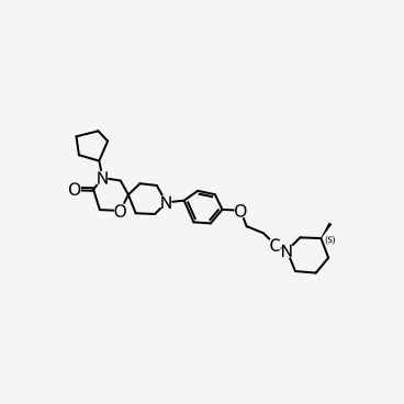 C[C@H]1CCCN(CCCOc2ccc(N3CCC4(CC3)CN(C3CCCC3)C(=O)CO4)cc2)C1